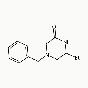 CCC1CN(Cc2ccccc2)CC(=O)N1